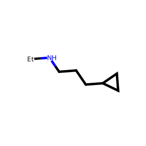 [CH2]CNCCCC1CC1